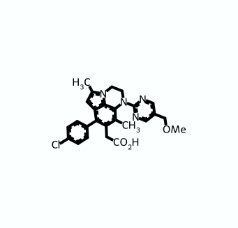 COCc1cnc(N2CCn3c(C)cc4c(-c5ccc(Cl)cc5)c(CC(=O)O)c(C)c2c43)nc1